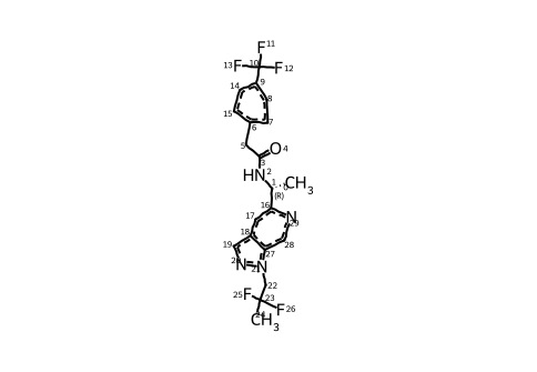 C[C@@H](NC(=O)Cc1ccc(C(F)(F)F)cc1)c1cc2cnn(CC(C)(F)F)c2cn1